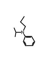 CCCN(c1ccccc1)C(C)C